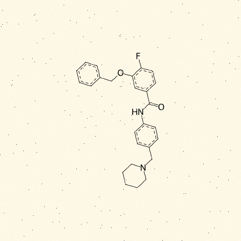 O=C(Nc1ccc(CN2CCCCC2)cc1)c1ccc(F)c(OCc2ccccc2)c1